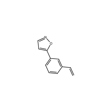 C=Cc1cccc(-c2ccno2)c1